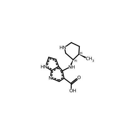 C[C@@H]1CCNC[C@@H]1Nc1c(C(=O)O)cnc2[nH]ccc12